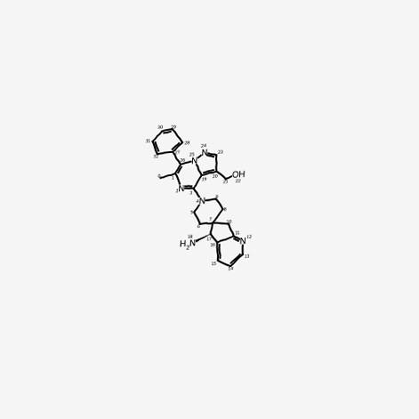 Cc1nc(N2CCC3(CC2)Cc2ncccc2[C@H]3N)c2c(CO)cnn2c1-c1ccccc1